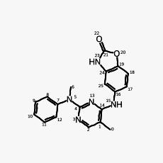 Cc1cnc(N(C)c2ccccc2)nc1Nc1ccc2oc(=O)[nH]c2c1